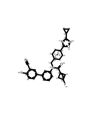 N#Cc1cc(-c2cccc(N(CC34CCC(c5nc(C6CC6)no5)(CC3)CC4)C(=O)C34CC(F)(C3)C4)c2)ccc1F